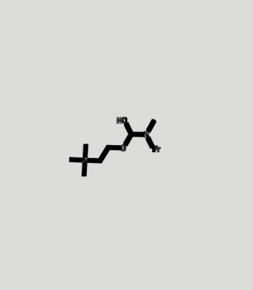 CC(C)N(C)C(O)OCC[Si](C)(C)C